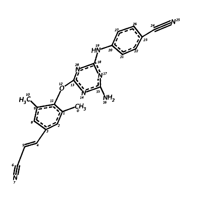 Cc1cc(/C=C/C#N)cc(C)c1Oc1nc(N)nc(Nc2ccc(C#N)cc2)n1